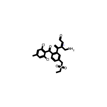 C=C(/C(=C\C=O)CN)c1cc(CS(=O)(=O)CC)ccc1C(=O)c1c(Cl)cc(C)cc1Cl